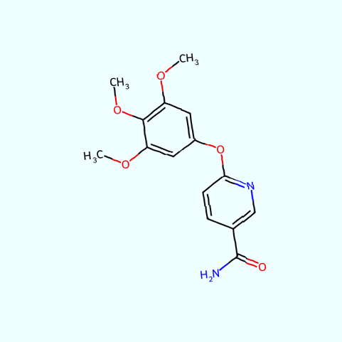 COc1cc(Oc2ccc(C(N)=O)cn2)cc(OC)c1OC